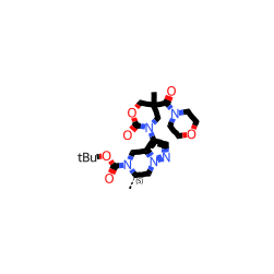 C[C@H]1Cn2ncc(N3CC(C)(C(=O)N4CCOCC4)COC3=O)c2CN1C(=O)OC(C)(C)C